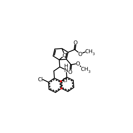 COC(=O)C1=C(C(=O)OC)C2(C(Cc3c(Cl)cccc3Cl)Nc3ccccc3)C=CC1O2